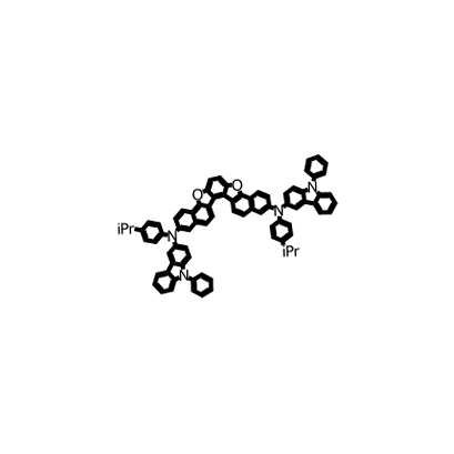 CC(C)c1ccc(N(c2ccc3c(ccc4c3oc3ccc5oc6c7ccc(N(c8ccc(C(C)C)cc8)c8ccc9c(c8)c8ccccc8n9-c8ccccc8)cc7ccc6c5c34)c2)c2ccc3c(c2)c2ccccc2n3-c2ccccc2)cc1